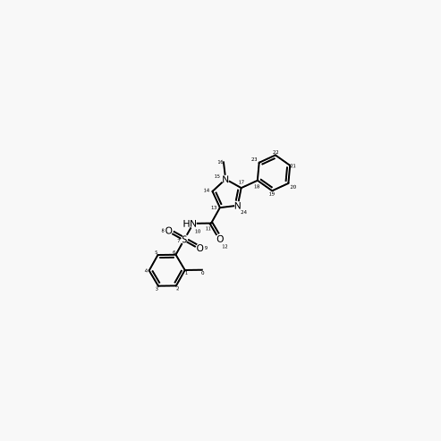 Cc1ccccc1S(=O)(=O)NC(=O)c1cn(C)c(-c2ccccc2)n1